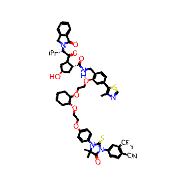 Cc1ncsc1-c1ccc(CNC(=O)[C@@H]2C[C@@H](O)CC2C(=O)[C@H](C(C)C)N2Cc3ccccc3C2=O)c(OCCOC2CCCCC2OCCOc2ccc(N3C(=S)N(c4ccc(C#N)c(C(F)(F)F)c4)C(=O)C3(C)C)cc2)c1